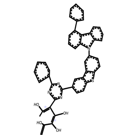 C=C(O)/C(O)=C(O)\C(=C(/C)O)c1nc(-c2ccccc2)nc(-c2ccc3sc4ccc(-n5c6ccccc6c6c(-c7ccccc7)cccc65)cc4c3c2)n1